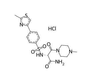 Cc1nc(-c2ccc(S(=O)(=O)N[C@@H](C(N)=O)C(=O)N3CCN(C)CC3)cc2)cs1.Cl